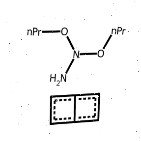 CCCON(N)OCCC.c1cc2ccc1-2